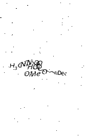 CCCCCCCCCCCCCCOCC(COP(=O)(O)OCCN1CCN(C)CC1)OC